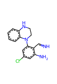 N=Cc1c(N)cc(Cl)cc1N1CCNc2ccccc21